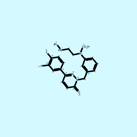 CC(C)NCCN(C(=O)O)c1cccc(Cn2nc(-c3ccc(F)c(F)c3)ccc2=O)c1